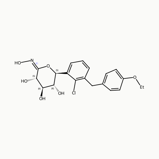 CCOc1ccc(Cc2cccc([C@@H]3O/C(=N/O)[C@@H](O)[C@H](O)[C@H]3O)c2Cl)cc1